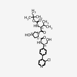 CC(C)[C@H](NC(=O)OC(C)(C)C)C(=O)N1C[C@H](O)C[C@H]1C(=O)N[C@@H](CO)c1ccc(-c2ccncc2Cl)cc1